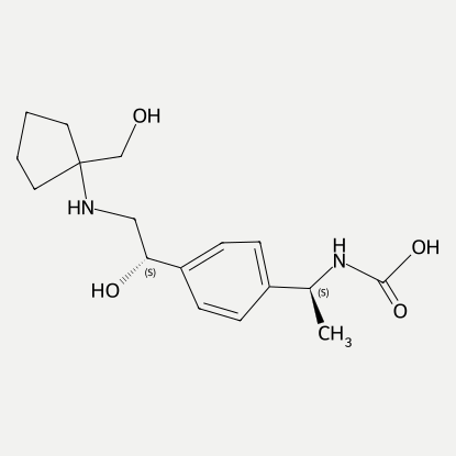 C[C@H](NC(=O)O)c1ccc([C@H](O)CNC2(CO)CCCC2)cc1